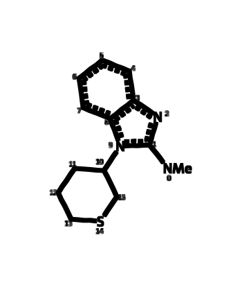 CNc1nc2ccccc2n1C1CCCSC1